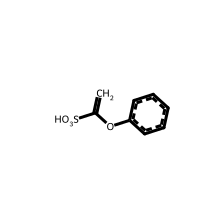 C=C(Oc1ccccc1)S(=O)(=O)O